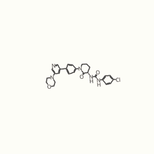 O=C(Nc1ccc(Cl)cc1)N[C@@H]1CCCN(c2ccc(-c3cncc(N4CCOCC4)c3)cc2)C1=O